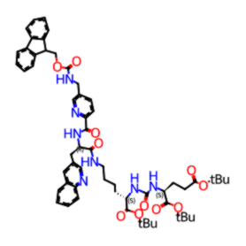 CC(C)(C)OC(=O)CC[C@H](NC(=O)N[C@@H](CCCCNC(=O)[C@@H](Cc1cnc2ccccc2c1)NC(=O)c1ccc(CNC(=O)OCC2c3ccccc3-c3ccccc32)cn1)C(=O)OC(C)(C)C)C(=O)OC(C)(C)C